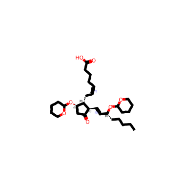 CCCCC[C@H](/C=C/[C@H]1C(=O)C[C@H](OC2CCCCO2)[C@@H]1C/C=C\CCCC(=O)O)OC1CCCCO1